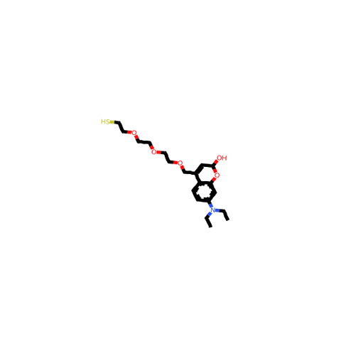 CCN(CC)c1ccc2c(c1)OC(O)C=C2COCCOCCOCCS